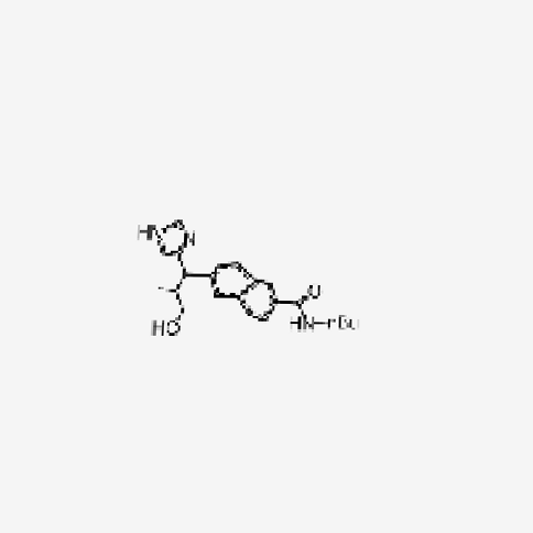 CCCCNC(=O)c1ccc2cc(C(c3c[nH]cn3)C(C)CO)ccc2c1